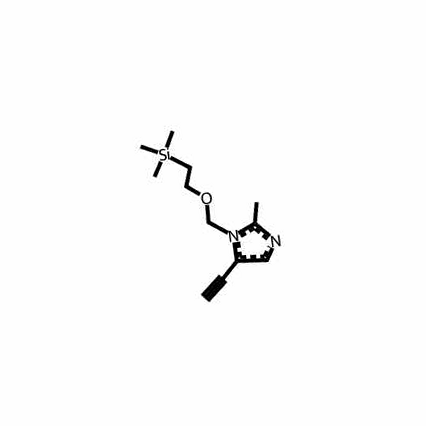 C#Cc1cnc(C)n1COCC[Si](C)(C)C